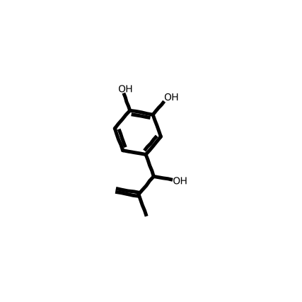 C=C(C)C(O)c1ccc(O)c(O)c1